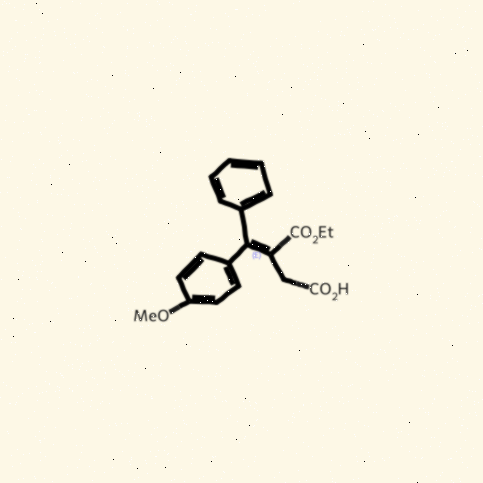 CCOC(=O)/C(CC(=O)O)=C(\c1ccccc1)c1ccc(OC)cc1